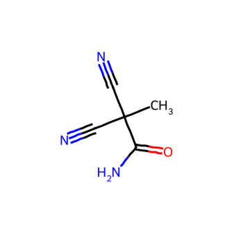 CC(C#N)(C#N)C(N)=O